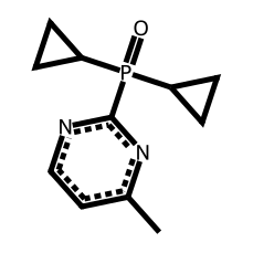 Cc1ccnc(P(=O)(C2CC2)C2CC2)n1